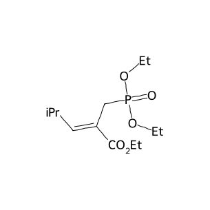 CCOC(=O)/C(=C/C(C)C)CP(=O)(OCC)OCC